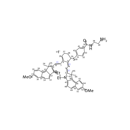 CCN1/C(=C/C=C2\C(/C=C/C3=[N+](CC)c4ccc5cc(OC)ccc5c4C3(C)C)=CCCC2Sc2ccc(C(=O)NCCN)cc2)C(C)(C)c2c1ccc1cc(OC)ccc21.[I-]